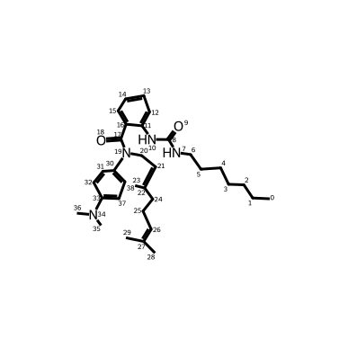 CCCCCCCNC(=O)Nc1ccccc1C(=O)N(CC=C(C)CCC=C(C)C)c1ccc(N(C)C)cc1